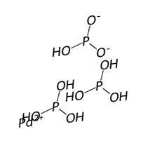 OP(O)O.OP(O)O.[O-]P([O-])O.[Pd+2]